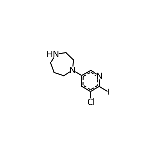 Clc1cc(N2CCCNCC2)cnc1I